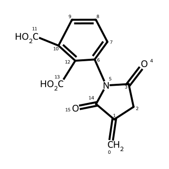 C=C1CC(=O)N(c2cccc(C(=O)O)c2C(=O)O)C1=O